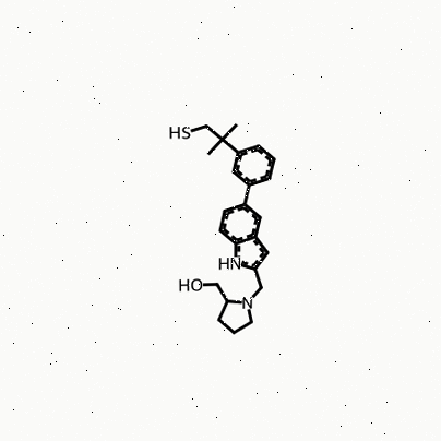 CC(C)(CS)c1cccc(-c2ccc3[nH]c(CN4CCCC4CO)cc3c2)c1